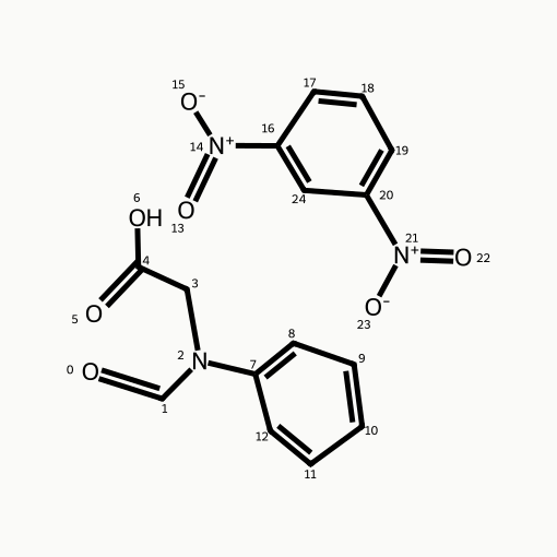 O=CN(CC(=O)O)c1ccccc1.O=[N+]([O-])c1cccc([N+](=O)[O-])c1